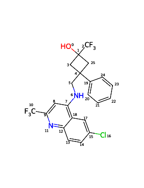 OC1(C(F)(F)F)CC(CNc2cc(C(F)(F)F)nc3ccc(Cl)cc23)(c2ccccc2)C1